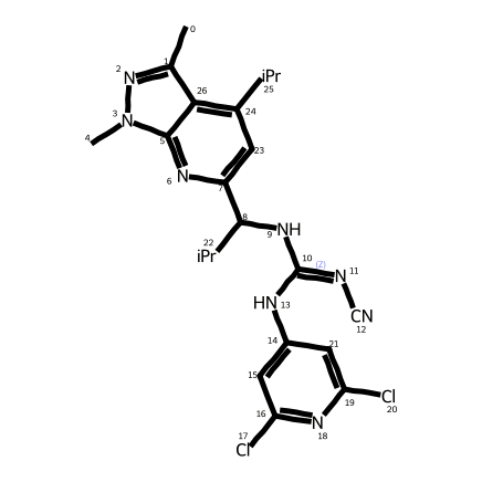 Cc1nn(C)c2nc(C(N/C(=N/C#N)Nc3cc(Cl)nc(Cl)c3)C(C)C)cc(C(C)C)c12